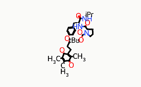 CC1=C(C)C(=O)C(CCCOc2ccc(C[C@H](NC(=O)C3CCCN3C(=O)OC(C)(C)C)C(=O)NC(C)C)cc2)=C(C)C1=O